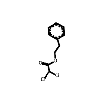 O=C(OCCc1ccccc1)C(Cl)Cl